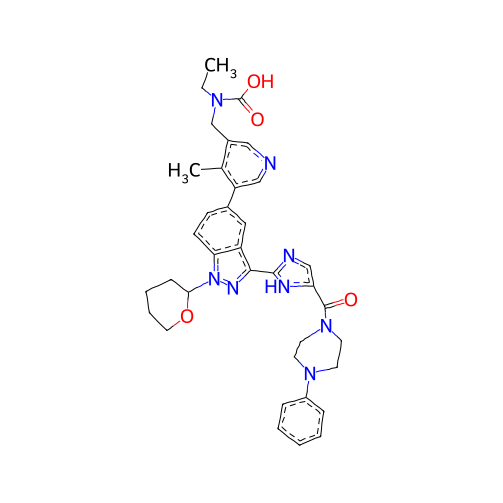 CCN(Cc1cncc(-c2ccc3c(c2)c(-c2ncc(C(=O)N4CCN(c5ccccc5)CC4)[nH]2)nn3C2CCCCO2)c1C)C(=O)O